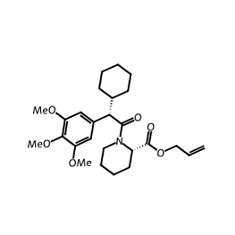 C=CCOC(=O)[C@@H]1CCCCN1C(=O)[C@H](c1cc(OC)c(OC)c(OC)c1)C1CCCCC1